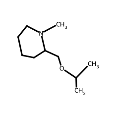 CC(C)OCC1CCCCN1C